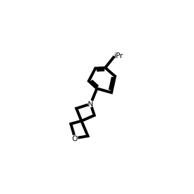 CC(C)c1ccc(N2CC3(COC3)C2)cc1